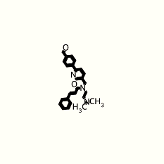 CN(C)CCN(Cc1ccc(-c2ccc(C=O)cc2)nc1)C(=O)C=Cc1ccccc1